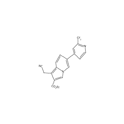 CCOC(=O)c1cn2cc(-c3ccnc(C(F)(F)F)c3)ccc2c1CC#N